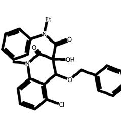 CCN(C(=O)C1(O)C(=O)N(C)c2cccc(Cl)c2C1OCc1ccccc1)c1ccccc1